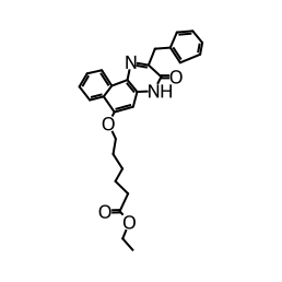 CCOC(=O)CCCCCOc1cc2[nH]c(=O)c(Cc3ccccc3)nc2c2ccccc12